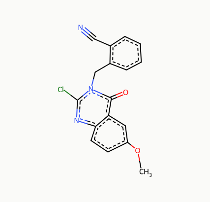 COc1ccc2nc(Cl)n(Cc3ccccc3C#N)c(=O)c2c1